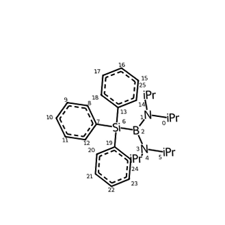 CC(C)N(B(N(C(C)C)C(C)C)[Si](c1ccccc1)(c1ccccc1)c1ccccc1)C(C)C